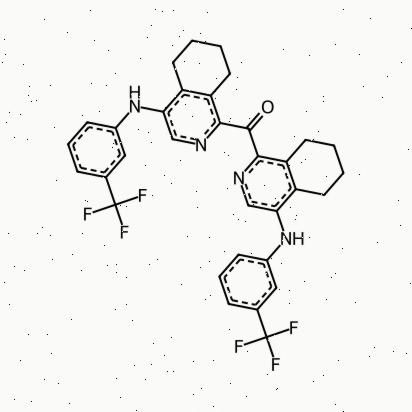 O=C(c1ncc(Nc2cccc(C(F)(F)F)c2)c2c1CCCC2)c1ncc(Nc2cccc(C(F)(F)F)c2)c2c1CCCC2